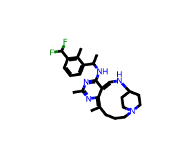 C/C1=c2\nc(C)nc(NC(C)c3cccc(C(F)F)c3C)\c2=C\NC2CCN(CCC1)CC2